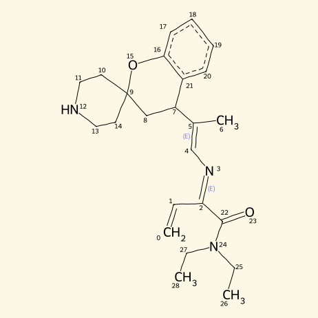 C=C/C(=N\C=C(/C)C1CC2(CCNCC2)Oc2ccccc21)C(=O)N(CC)CC